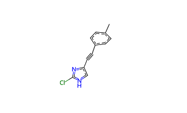 Cc1ccc(C#Cc2c[nH]c(Cl)n2)cc1